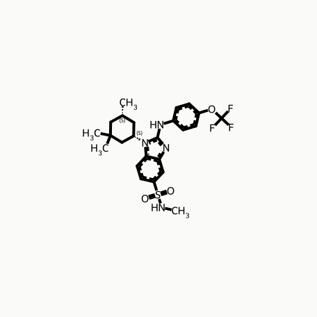 CNS(=O)(=O)c1ccc2c(c1)nc(Nc1ccc(OC(F)(F)F)cc1)n2[C@H]1C[C@@H](C)CC(C)(C)C1